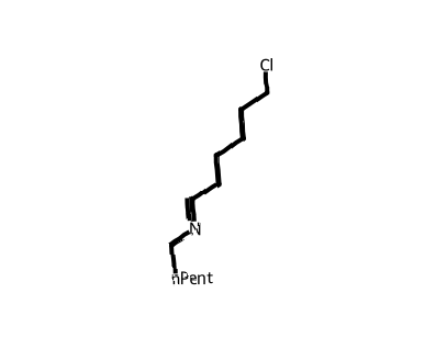 CCCCCCN=CCCCCCCl